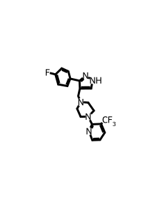 Fc1ccc(-c2n[nH]cc2CN2CCN(c3ncccc3C(F)(F)F)CC2)cc1